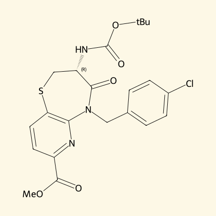 COC(=O)c1ccc2c(n1)N(Cc1ccc(Cl)cc1)C(=O)[C@@H](NC(=O)OC(C)(C)C)CS2